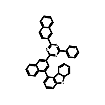 C1=CC2Oc3cccc(-c4cc(-c5nc(-c6ccccc6)nc(-c6ccc7ccccc7c6)n5)cc5ccccc45)c3C2C=C1